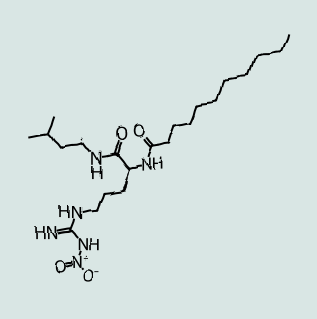 CCCCCCCCCCC(=O)N[C@@H](CCCNC(=N)N[N+](=O)[O-])C(=O)N[CH]CC(C)C